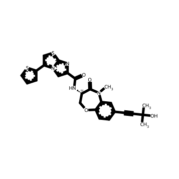 CN1C(=O)[C@@H](NC(=O)c2cn3c(-c4cccs4)csc3n2)COc2ccc(C#CC(C)(C)O)cc21